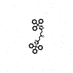 O=C(CCc1cn(C(c2ccccc2)(c2ccccc2)c2ccccc2)cn1)CCc1cn(C(c2ccccc2)(c2ccccc2)c2ccccc2)cn1